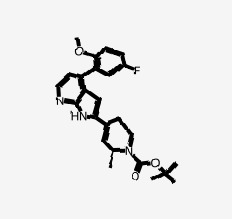 COc1ccc(F)cc1-c1ccnc2[nH]c(C3=C[C@H](C)N(C(=O)OC(C)(C)C)CC3)cc12